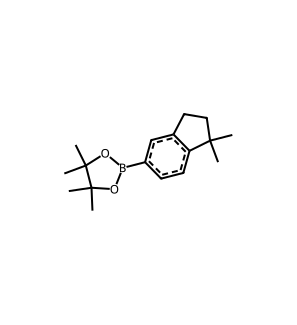 CC1(C)CCc2cc(B3OC(C)(C)C(C)(C)O3)ccc21